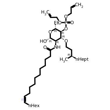 C=CCOP(=O)(OCC=C)O[C@H]1[C@H](OCC[C@H](C)CCCCCCC)[C@@H](NC(=O)CCCCCCCCC/C=C\CCCCCC)[C@H](O)O[C@@H]1CC